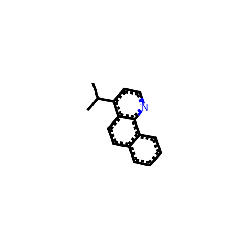 CC(C)c1ccnc2c1ccc1ccccc12